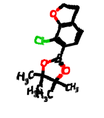 CC1(C)OB(c2ccc3c(c2Cl)OCC3)OC1(C)C